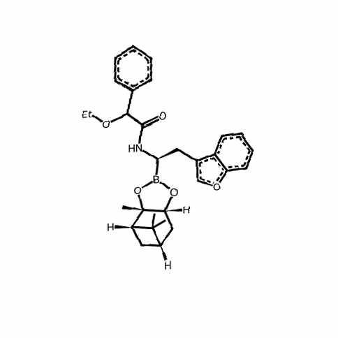 CCOC(C(=O)N[C@@H](Cc1coc2ccccc12)B1O[C@@H]2C[C@@H]3C[C@@H](C3(C)C)[C@]2(C)O1)c1ccccc1